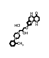 Cc1ccccc1N1CCN(CC(O)COc2cc3n(c2)C2NCCC(=O)C2NC3)CC1.Cl